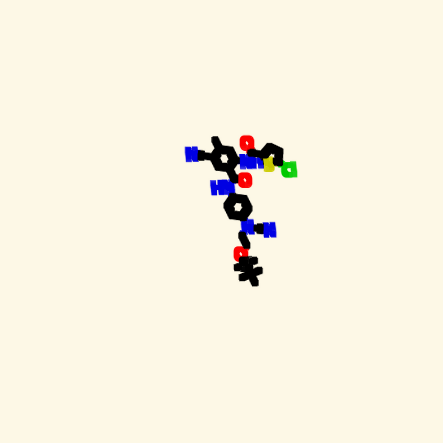 Cc1cc(NC(=O)c2ccc(Cl)s2)c(C(=O)Nc2ccc(N(C#N)CCO[Si](C)(C)C(C)(C)C)cc2)cc1C#N